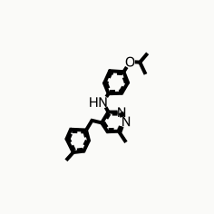 Cc1ccc(Cc2cc(C)nnc2Nc2ccc(OC(C)C)cc2)cc1